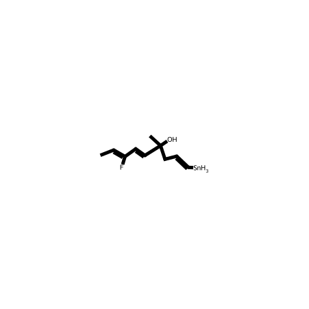 CC=C(F)C=CC(C)(O)CC=[CH][SnH3]